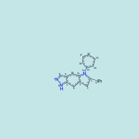 CC(C)c1cc2cc3[nH]ncc3cc2n1-c1ccccc1